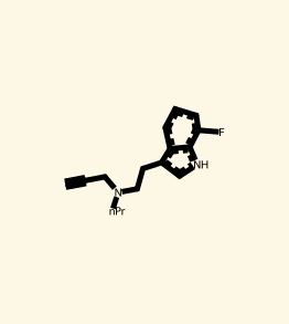 C#CCN(CCC)CCc1c[nH]c2c(F)cccc12